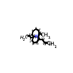 C=CCC12CCCCC3(C)N1C3(CC=C)CCC2